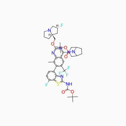 Cc1c(-c2ccc(F)c3sc(NC(=O)OC(C)(C)C)nc23)c(C(F)(F)F)cc2c(N3CC4CCC(C3)N4C(=O)OC(C)(C)C)nc(OC[C@@]34CCCN3C[C@H](F)C4)nc12